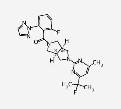 Cc1cc(C(C)(C)F)nc(N2C[C@H]3CN(C(=O)c4c(F)cccc4-n4nccn4)C[C@H]3C2)n1